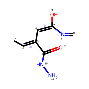 C=N/C(O)=C\C(=C/C)C(=O)NN